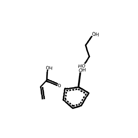 C=CC(=O)O.OCCO.Oc1ccccc1